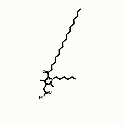 CCCCCCCCCCCCCCCCCC(=O)c1c(C)c(CC(=O)O)c(C)n1CCCCCC